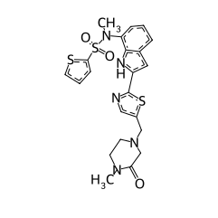 CN1CCN(Cc2cnc(-c3cc4cccc(N(C)S(=O)(=O)c5cccs5)c4[nH]3)s2)CC1=O